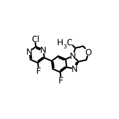 CC1COCc2nc3c(F)cc(-c4nc(Cl)ncc4F)cc3n21